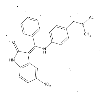 CC(=O)N(C)Cc1ccc(NC(=C2C(=O)Nc3ccc([N+](=O)[O-])cc32)c2ccccc2)cc1